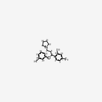 Fc1ccc(C(CCN2CCCC2)Oc2cccc(I)c2)c(I)c1